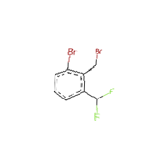 FC(F)c1cccc(Br)c1CBr